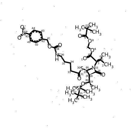 CC(C)=C(C(=O)OCOC(=O)C(C)(C)C)N1C(=O)[C@@H]([C@@H](C)O[Si](C)(C)C(C)(C)C)[C@H]1SC(=O)CCCCNC(=O)OCc1ccc([N+](=O)[O-])cc1